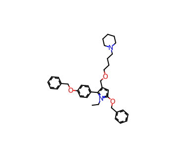 CCn1c(OCc2ccccc2)cc(COCCCCN2CCCCC2)c1-c1ccc(OCc2ccccc2)cc1